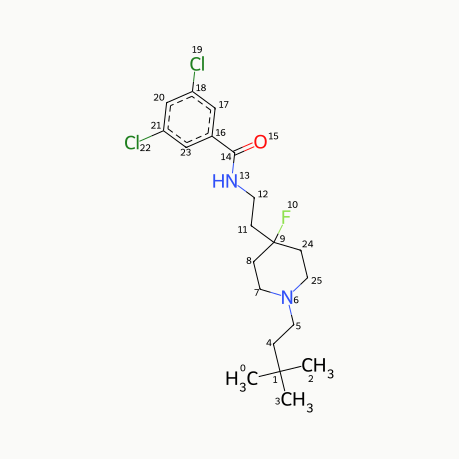 CC(C)(C)CCN1CCC(F)(CCNC(=O)c2cc(Cl)cc(Cl)c2)CC1